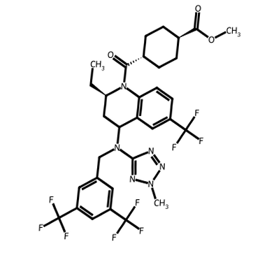 CC[C@@H]1CC(N(Cc2cc(C(F)(F)F)cc(C(F)(F)F)c2)c2nnn(C)n2)c2cc(C(F)(F)F)ccc2N1C(=O)[C@H]1CC[C@H](C(=O)OC)CC1